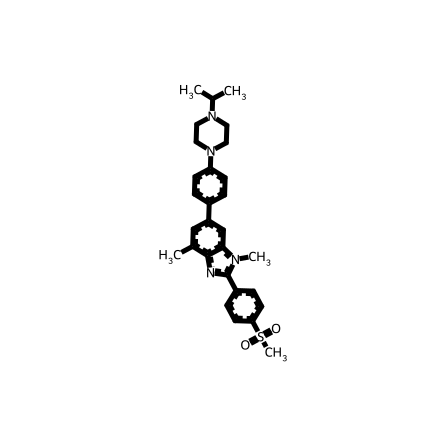 Cc1cc(-c2ccc(N3CCN(C(C)C)CC3)cc2)cc2c1nc(-c1ccc(S(C)(=O)=O)cc1)n2C